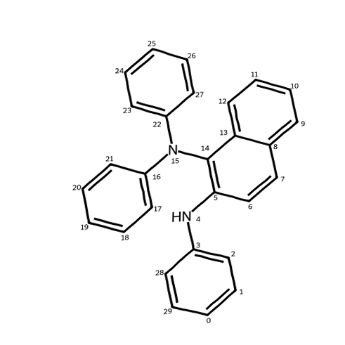 c1ccc(Nc2ccc3ccccc3c2N(c2ccccc2)c2ccccc2)cc1